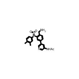 CC(=O)Nc1cncc(-c2ccc(CN)c(N(c3ccc(C)c(C)c3)[SH](=O)=O)c2)c1